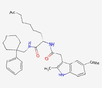 COc1ccc2[nH]c(C)c(CC(=O)N[C@@H](CCCCCC(C)=O)C(=O)NCC3(c4ccccc4)CCCCC3)c2c1